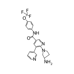 NC1CCN(c2ncc(C(=O)Nc3ccc(OC(F)(F)F)cc3)cc2-c2cccnc2)C1